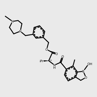 Cc1c(C(=O)N[C@H](C(=O)OCc2cccc(CN3CCN(C)CC3)c2)C(C)C)ccc2c1B(O)OC2